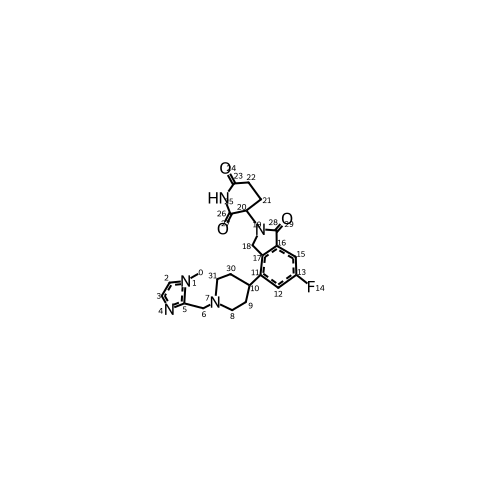 Cn1ccnc1CN1CCC(c2cc(F)cc3c2CN(C2CCC(=O)NC2=O)C3=O)CC1